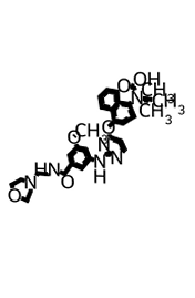 COc1cc(Nc2nccc(Oc3ccc(N(C(=O)O)C(C)(C)C)c4ccccc34)n2)cc(C(=O)NCCN2CCOCC2)c1